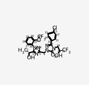 C[C@@H](O)c1nc(Cn2nc(-c3ccc(Cl)cc3)n(C[C@H](O)C(F)(F)F)c2=O)nn1-c1ccccc1OC(F)(F)F